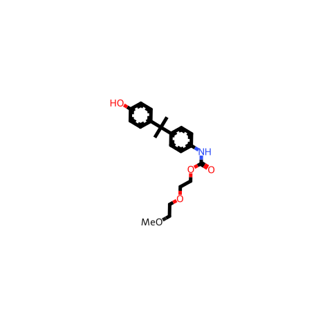 COCCOCCOC(=O)Nc1ccc(C(C)(C)c2ccc(O)cc2)cc1